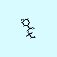 CC(C)(CI)OC(=O)C1CCNCC1